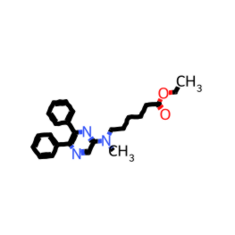 CCOC(=O)CCCCCN(C)c1cnc(-c2ccccc2)c(-c2ccccc2)n1